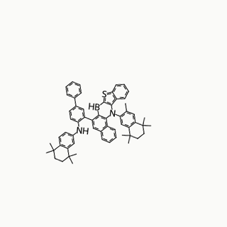 Cc1cc2c(cc1N1c3c(c(-c4cc(-c5ccccc5)ccc4Nc4ccc5c(c4)C(C)(C)CCC5(C)C)cc4ccccc34)Bc3sc4ccccc4c31)C(C)(C)CCC2(C)C